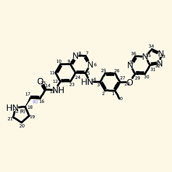 Cc1cc(Nc2ncnc3ccc(NC(=O)/C=C/[C@H]4CCCN4)cc23)ccc1Oc1cc2nncn2cn1